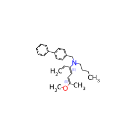 C=C/C(=C\C=C(/C)OC)N(CCCC)Cc1ccc(-c2ccccc2)cc1